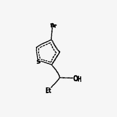 CCC(O)c1cc(Br)cs1